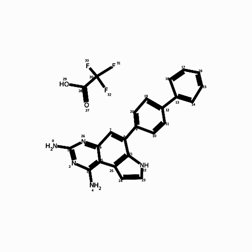 Nc1nc(N)c2c(cc(-c3ccc(-c4ccccc4)cc3)c3[nH]ccc32)n1.O=C(O)C(F)(F)F